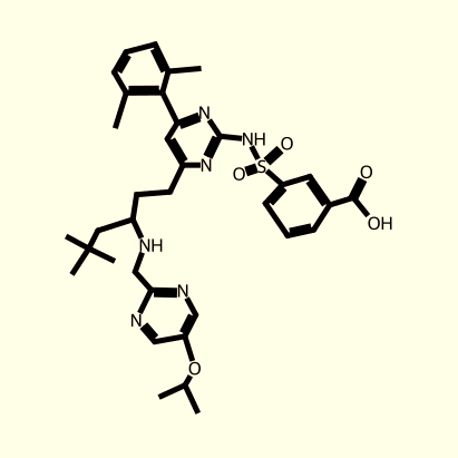 Cc1cccc(C)c1-c1cc(CCC(CC(C)(C)C)NCc2ncc(OC(C)C)cn2)nc(NS(=O)(=O)c2cccc(C(=O)O)c2)n1